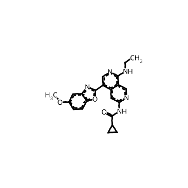 CCNc1ncc(-c2nc3cc(OC)ccc3o2)c2cc(NC(=O)C3CC3)ncc12